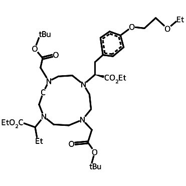 CCOCCOc1ccc(C[C@@H](C(=O)OCC)N2CCN(CC(=O)OC(C)(C)C)CCN(C(CC)C(=O)OCC)CCN(CC(=O)OC(C)(C)C)CC2)cc1